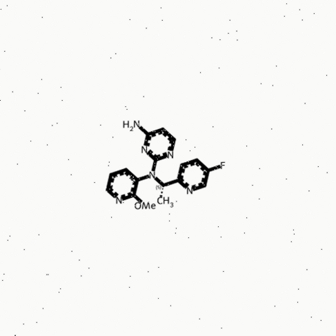 COc1ncccc1N(c1nccc(N)n1)[C@@H](C)c1ccc(F)cn1